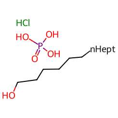 CCCCCCCCCCCCCO.Cl.O=P(O)(O)O